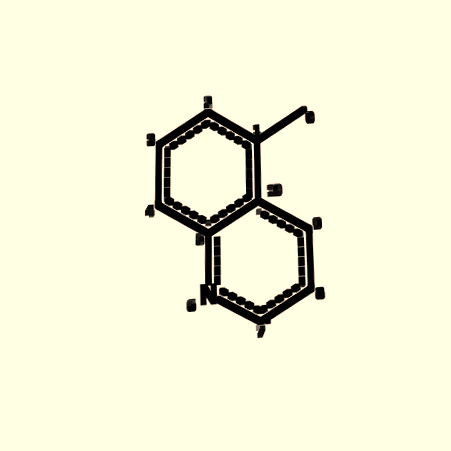 Cc1cccc2n[c]ccc12